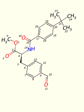 COC(=O)[C@H](Cc1ccc(C=O)cc1)NC(=O)c1ccc(C(C)(C)C)cc1